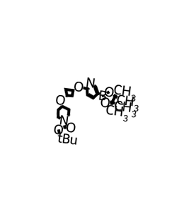 CC(C)(C)OC(=O)N1CCC(O[C@H]2C[C@H](Oc3ccc(B4OC(C)(C)C(C)(C)O4)cn3)C2)CC1